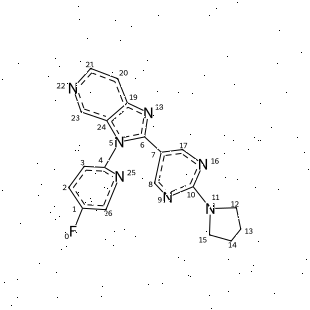 Fc1ccc(-n2c(-c3cnc(N4CCCC4)nc3)nc3ccncc32)nc1